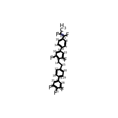 C/C(F)=C(\F)c1ccc(-c2cc(F)c(CCc3ccc(-c4cc(F)c(F)c(F)c4)cc3)c(F)c2)cc1